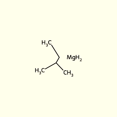 CCC(C)C.[MgH2]